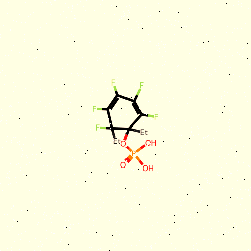 CCC1(F)C(F)=C(F)C(F)=C(F)C1(CC)OP(=O)(O)O